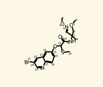 COCC(C)(C=NOC)NC(=O)C(Oc1ccc2ncc(Br)cc2c1)SC